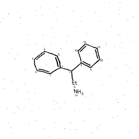 CCC(c1ccccc1)c1ccccc1.N